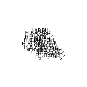 Bc1c(B)c(B)c(-c2c(B)c(B)c(B)c(S(c3ccccc3)(c3ccccc3)c3c(B)c(B)c(B)c(-c4nc(-n5c6c(B)c(B)c(B)c(B)c6c6c(B)c(B)c(B)c(B)c65)nc(-n5c6c(B)c(B)c(B)c(B)c6c6c(B)c(B)c(B)c(B)c65)n4)c3B)c2B)c(B)c1B